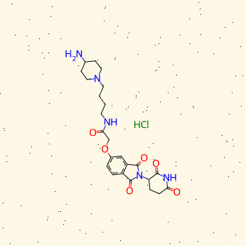 Cl.NC1CCN(CCCCNC(=O)COc2ccc3c(c2)C(=O)N(C2CCC(=O)NC2=O)C3=O)CC1